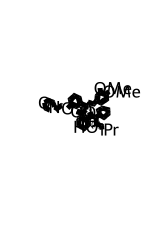 COc1ccc(CC[C@@H](OC(=O)[C@@H]2CCCCN2C(=O)C(C2CCCCC2)[C@H](O)CC(C)C)c2cccc(OCCN3CCOCC3)c2)cc1OC